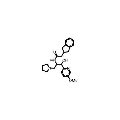 COc1ccc(C(O)C(CN2CCCC2)N(C)C(=O)CC2Cc3ccccc3C2)nc1